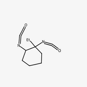 CCC1(N=C=O)CCCCC1N=C=O